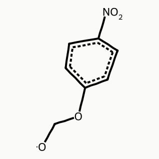 [O]COc1ccc([N+](=O)[O-])cc1